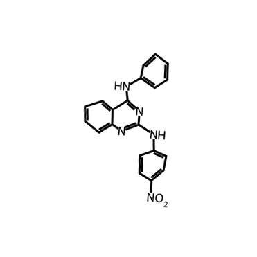 O=[N+]([O-])c1ccc(Nc2nc(Nc3ccccc3)c3ccccc3n2)cc1